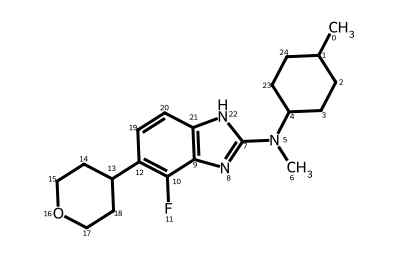 CC1CCC(N(C)c2nc3c(F)c(C4CCOCC4)ccc3[nH]2)CC1